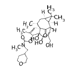 CC1=C[C@]23C(=O)[C@@H](C=C(CO)[C@@H](O)[C@]2(O)[C@H]1OC(=O)N(C)CC1CCOCC1)[C@H]1[C@@H](C[C@H]3C)C1(C)C